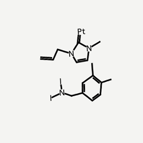 C=CCn1ccn(C)[c]1=[Pt].Cc1ccc(CN(I)I)cc1C